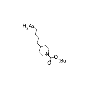 CC(C)(C)OC(=O)N1CCC(CCCC[AsH2])CC1